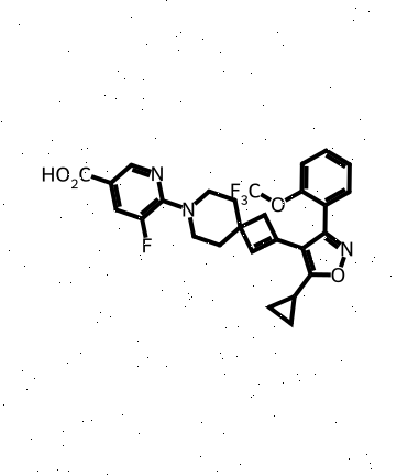 O=C(O)c1cnc(N2CCC3(C=C(c4c(-c5ccccc5OC(F)(F)F)noc4C4CC4)C3)CC2)c(F)c1